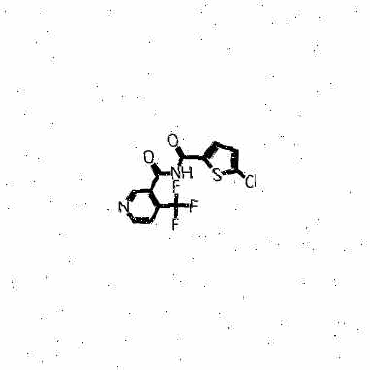 O=C(NC(=O)c1cnccc1C(F)(F)F)c1ccc(Cl)s1